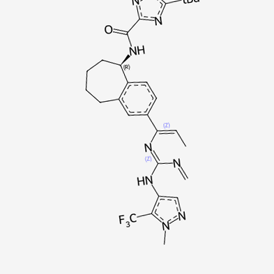 C=N/C(=N\C(=C/C)c1ccc2c(c1)CCCC[C@H]2NC(=O)c1noc(C(C)(C)C)n1)Nc1cnn(C)c1C(F)(F)F